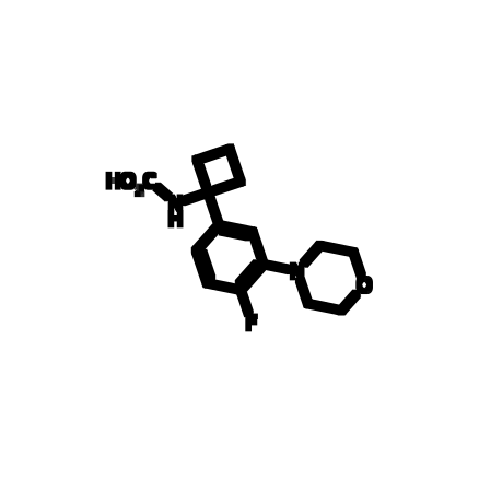 O=C(O)NC1(c2ccc(F)c(N3CCOCC3)c2)CCC1